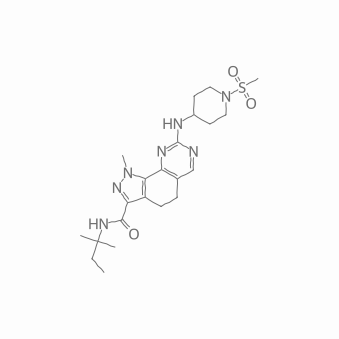 CCC(C)(C)NC(=O)c1nn(C)c2c1CCc1cnc(NC3CCN(S(C)(=O)=O)CC3)nc1-2